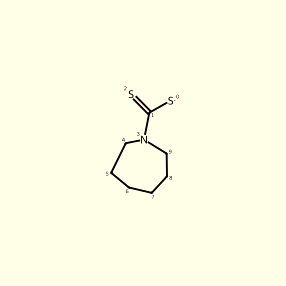 [S]C(=S)N1CCCCCC1